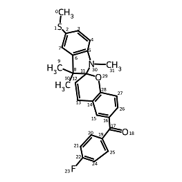 CSc1ccc2c(c1)C(C)(C)C1(C=Cc3cc(C(=O)c4ccc(F)cc4)ccc3O1)N2C